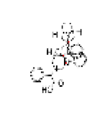 Cc1nc2ccccc2n1[C@H]1C[C@H]2CC[C@@H](C1)N2CCC1(c2ccccc2)CCN(C(C(=O)O)c2ccccc2)CC1